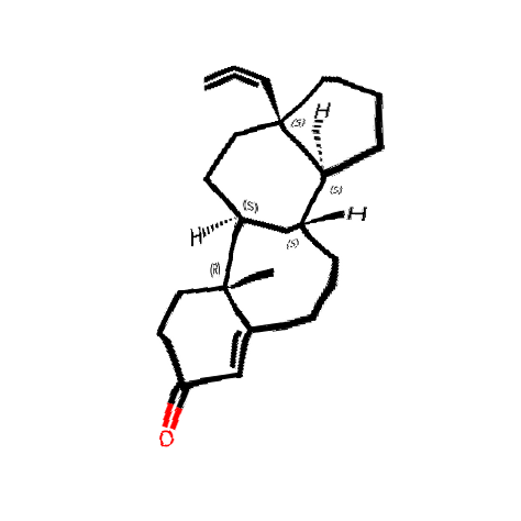 C=C[C@@]12CCC[C@H]1[C@@H]1CCC3=CC(=O)CC[C@]3(C)[C@H]1CC2